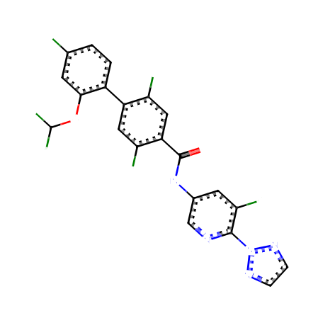 O=C(Nc1cnc(-n2nccn2)c(Cl)c1)c1cc(F)c(-c2ccc(F)cc2OC(F)F)cc1Cl